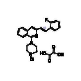 CCN1CCN(c2nc(/C=C/c3ccccc3F)cc3ccccc23)CC1.O=C(O)C(=O)O